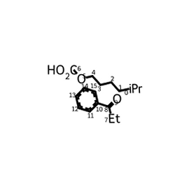 CC(C)CCCCOC(=O)O.CCC(=O)c1ccccc1